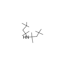 CC(C)(C)CC(C)(C)NC(C)(C)CC(C)(C)C